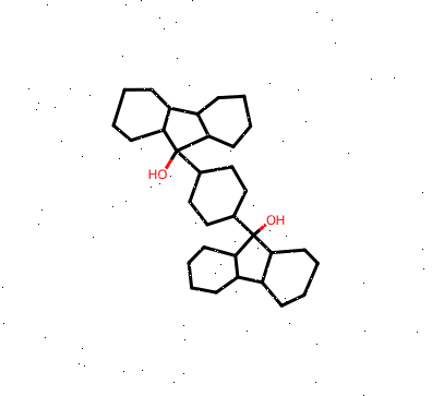 OC1(C2CCC(C3(O)C4CCCCC4C4CCCCC43)CC2)C2CCCCC2C2CCCCC21